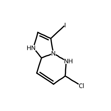 ClC1C=CC2NC=C(I)N2N1